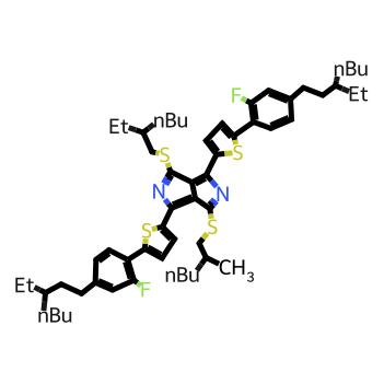 CCCCC(C)CSC1=NC(c2ccc(-c3ccc(CCC(CC)CCCC)cc3F)s2)=C2C(SCC(CC)CCCC)=NC(c3ccc(-c4ccc(CCC(CC)CCCC)cc4F)s3)=C12